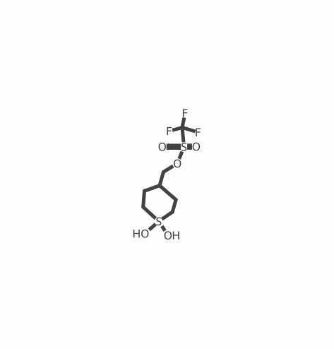 O=S(=O)(OCC1CCS(O)(O)CC1)C(F)(F)F